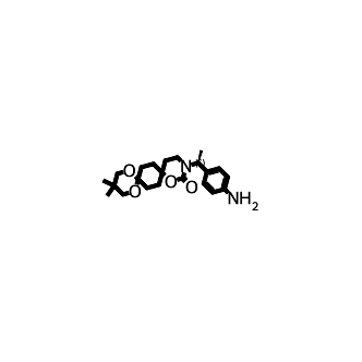 C[C@@H](c1ccc(N)cc1)N1CCC2(CCC3(CC2)OCC(C)(C)CO3)OC1=O